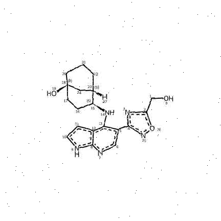 OCc1nc(-c2cnc3[nH]ccc3c2N[C@H]2CC[C@]3(O)CCC[C@H]2C3)no1